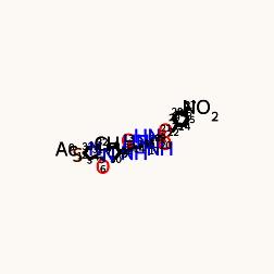 CC(=O)S[C@H]1C[C@@H](C(=O)N2CC[C@H](NC(=O)CNC(=N)NC(=O)OCc3ccc([N+](=O)[O-])cc3)C2)N(C)C1